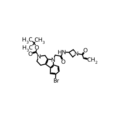 C=CC(=O)N1CC(NC(=O)Cn2c3c(c4cc(Br)ccc42)CCN(C(=O)OC(C)(C)C)C3)C1